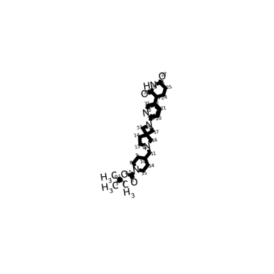 CC(C)(C)OC(=O)N1CCC(CN2CCC3(C2)CN(c2ccc(C4CCC(=O)NC4=O)cn2)C3)CC1